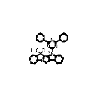 CC1(C)c2ccccc2-n2cc3c4ccccc4n(-c4nc(-c5ccccc5)nc(-c5ccccc5)n4)c3c21